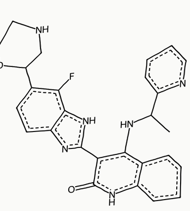 CC(Nc1c(-c2nc3ccc(C4CNCCO4)c(F)c3[nH]2)c(=O)[nH]c2ccccc12)c1ccccn1